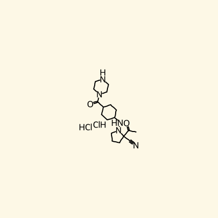 CC(=O)C1(C#N)CCCN1NC1CCC(C(=O)N2CCNCC2)CC1.Cl.Cl